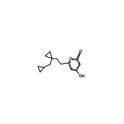 O=c1cc(O)cc(CCC2(CC3CC3)CC2)o1